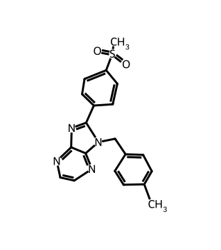 Cc1ccc(Cn2c(-c3ccc(S(C)(=O)=O)cc3)nc3nccnc32)cc1